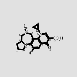 CC(=O)N1Cc2c(c(F)cc3c(=O)c(C(=O)O)cn(C4CC4)c23)N2CCCC2C1